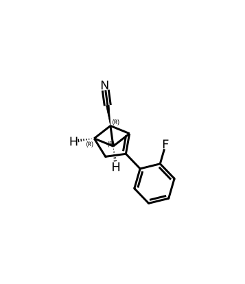 N#C[C@]12C3=C(c4ccccc4F)C[C@@H]1[C@H]32